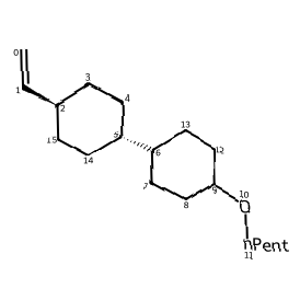 C=C[C@H]1CC[C@H](C2CCC(OCCCCC)CC2)CC1